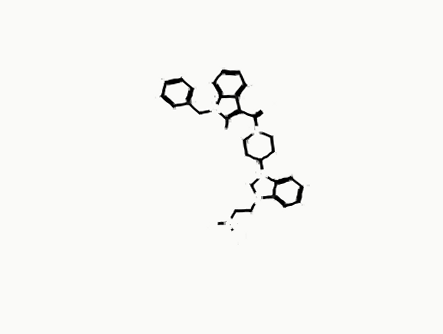 Cc1c(C(=O)N2CCC(N3[CH]N(CCN(C)C)c4ccccc43)CC2)c2ccccc2n1Cc1ccccc1